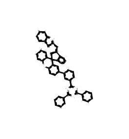 c1ccc(-c2nc(-c3ccccc3)nc(-c3cccc(-c4ccc5c(c4)C4(c6ccccc6S5)c5ccccc5-c5cc6oc7ccccc7c6cc54)c3)n2)cc1